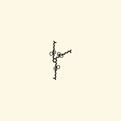 CC(C)CCCCCOC(=O)CCC1CCC(CCC(=O)OCCCCCC(C)C)C(CCC(=O)OCCCCCC(C)C)C1